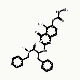 CCN(Cc1ccccc1)C(=O)[C@H](Cc1ccccc1)Nc1nc2ccc(OC(=O)NC(C)(C)C)c(C)c2c(=O)o1